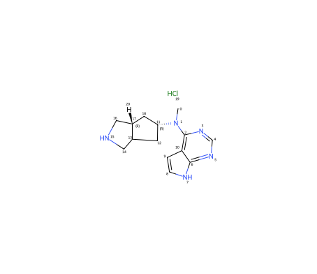 CN(c1ncnc2[nH]ccc12)[C@@H]1CC2CNC[C@@H]2C1.Cl